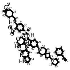 C#Cc1ccccc1[C@@H]1CCCN1C1CC2(CCN(c3ccc(C(=O)NS(=O)(=O)c4ccc(NCC5CCC(C)(OC)CC5)c([N+](=O)[O-])c4)c(N4c5cc6cc[nH]c6nc5O[C@H]5COCC[C@@H]54)c3)CC2)C1